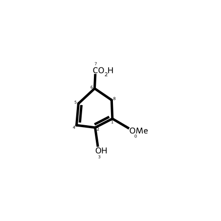 COC1=C(O)C=CC(C(=O)O)C1